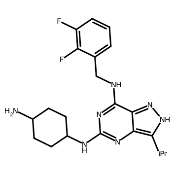 CC(C)c1[nH]nc2c(NCc3cccc(F)c3F)nc(NC3CCC(N)CC3)nc12